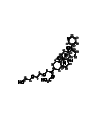 C[C@]12CC[C@H](C(COCCOCCO)OC(=O)O)CC1=CC[C@@H]1[C@@H]2CC[C@]2(C)C(c3cccnc3)=CC[C@@H]12